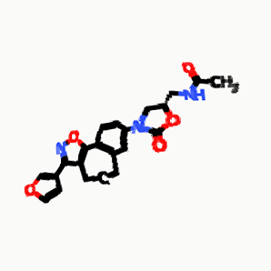 CC(=O)NC[C@H]1CN(c2ccc3c(c2)CCCc2c(-c4ccoc4)noc2-3)C(=O)O1